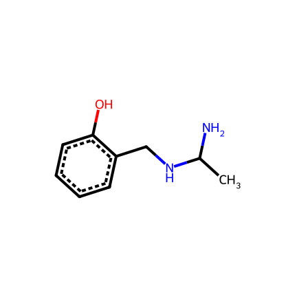 CC(N)NCc1ccccc1O